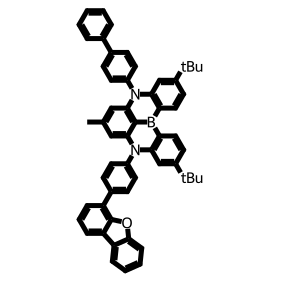 Cc1cc2c3c(c1)N(c1ccc(-c4cccc5c4oc4ccccc45)cc1)c1cc(C(C)(C)C)ccc1B3c1ccc(C(C)(C)C)cc1N2c1ccc(-c2ccccc2)cc1